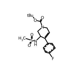 CC(C)(C)OC(=O)N1CC=C(c2ccc(F)cc2)C(NS(C)(=O)=O)C1